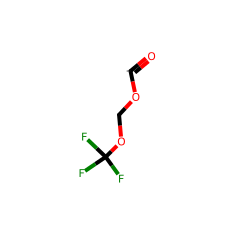 O=[C]OCOC(F)(F)F